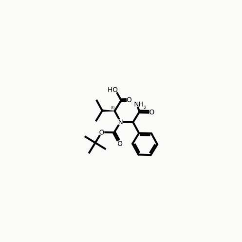 CC(C)[C@@H](C(=O)O)N(C(=O)OC(C)(C)C)C(C(N)=O)c1ccccc1